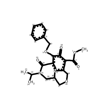 COC(=O)c1c2n3c(c(OCc4ccccc4)c1=O)C(=O)N(C(C)C)C[C@@H]3COC2